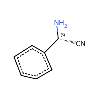 N#C[C@@H](N)c1ccccc1